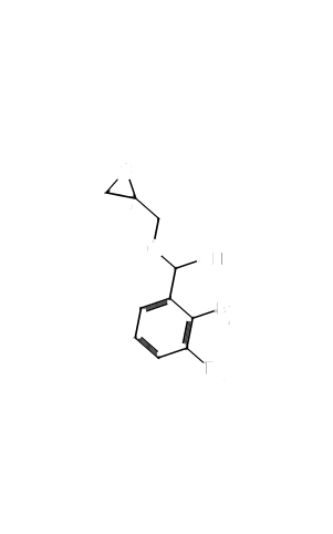 CC(OCC1CO1)c1cccc(F)c1Br